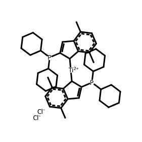 Cc1ccc(C)c2c1C=C(P(C1CCCCC1)C1CCCCC1)[CH]2[Ti+2][CH]1C(P(C2CCCCC2)C2CCCCC2)=Cc2c(C)ccc(C)c21.[Cl-].[Cl-]